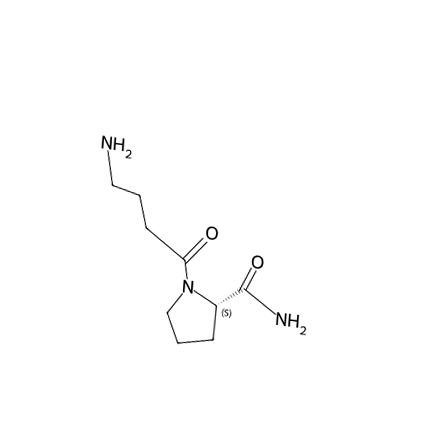 NCCCC(=O)N1CCC[C@H]1C(N)=O